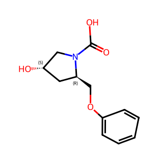 O=C(O)N1C[C@@H](O)C[C@@H]1COc1ccccc1